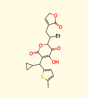 CCC(CC1=CCOC1=O)C1OC(=O)C(C(c2ccc(C)s2)C2CC2)=C(O)C1=O